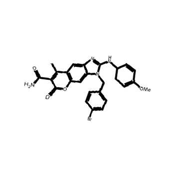 COC1=CCC(Nc2nc3cc4c(C)c(C(N)=O)c(=O)oc4cc3n2Cc2ccc(Br)cc2)C=C1